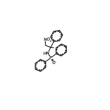 CC(C[N+](=O)[O-])(NP(=O)(c1ccccc1)c1ccccc1)c1ccccc1